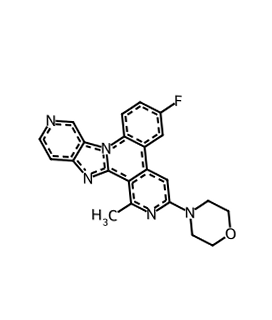 Cc1nc(N2CCOCC2)cc2c3cc(F)ccc3n3c4cnccc4nc3c12